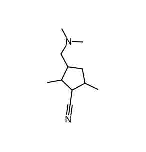 CC1CC(CN(C)C)C(C)C1C#N